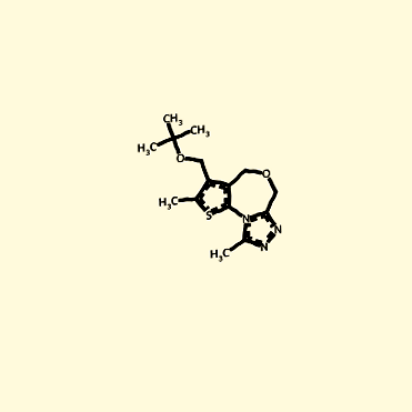 Cc1sc2c(c1COC(C)(C)C)COCc1nnc(C)n1-2